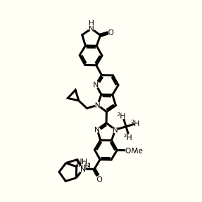 [2H]C([2H])([2H])n1c(-c2cc3ccc(-c4ccc5c(c4)C(=O)NC5)nc3n2CC2CC2)nc2cc(C(=O)N3CC4CCC3[C@@H]4N)cc(OC)c21